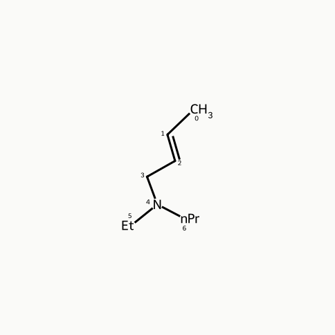 CC=CCN(CC)CCC